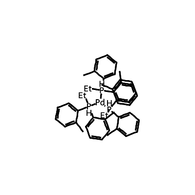 CC[PH](c1ccccc1C)(c1ccccc1C)[Pd]([PH](CC)(c1ccccc1C)c1ccccc1C)[PH](CC)(c1ccccc1C)c1ccccc1C